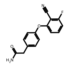 N#Cc1c(F)cccc1Oc1ccc(CC(N)=O)cc1